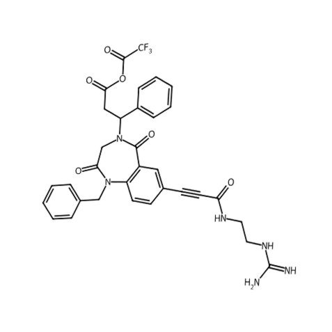 N=C(N)NCCNC(=O)C#Cc1ccc2c(c1)C(=O)N(C(CC(=O)OC(=O)C(F)(F)F)c1ccccc1)CC(=O)N2Cc1ccccc1